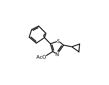 CC(=O)Oc1nc(C2CC2)sc1-c1ccccc1